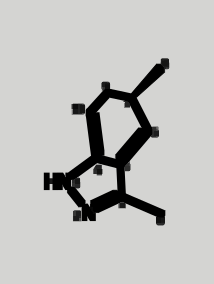 Cc1n[nH]c2c1=C[C@H](C)CC=2